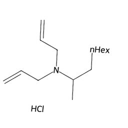 C=CCN(CC=C)C(C)CCCCCCC.Cl